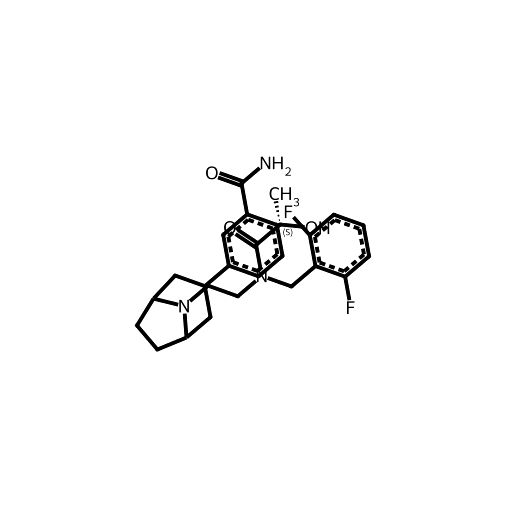 C[C@H](O)C(=O)N(CCN1C2CCC1CC(c1cccc(C(N)=O)c1)C2)Cc1c(F)cccc1F